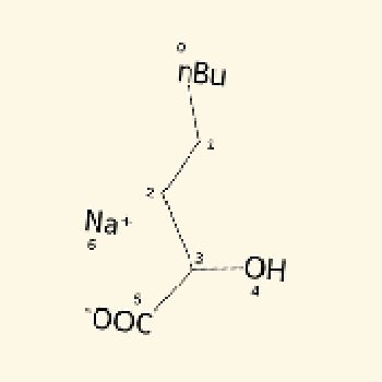 CCCCCCC(O)C(=O)[O-].[Na+]